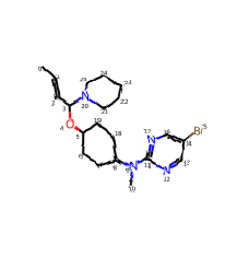 CC=CC(OC1CCC(N(C)c2ncc(Br)cn2)CC1)N1CCCCC1